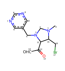 CN1CN(Cc2cncnc2)C(C(=O)C=O)C1CBr